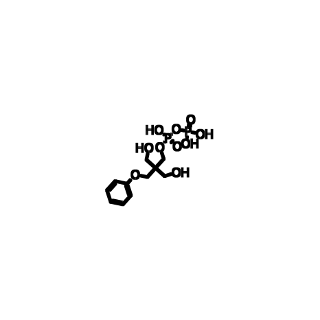 O=P(O)(O)OP(=O)(O)OCC(CO)(CO)COc1ccccc1